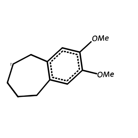 COc1cc2c(cc1OC)CCC[C]C2